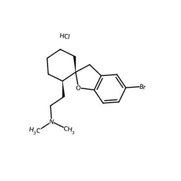 CN(C)CC[C@H]1CCCC[C@]12Cc1cc(Br)ccc1O2.Cl